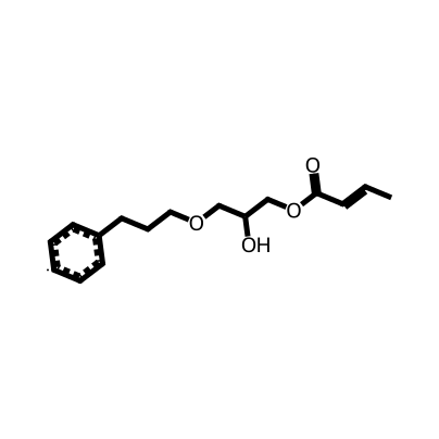 CC=CC(=O)OCC(O)COCCCc1cc[c]cc1